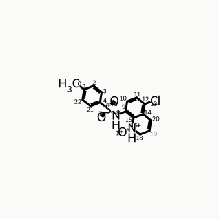 Cc1ccc(S(=O)(=O)Nc2ccc(Cl)c3c2[NH+]([O-])CC=C3)cc1